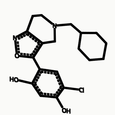 Oc1cc(O)c(-c2onc3c2CN(CC2CCCCC2)CC3)cc1Cl